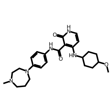 COC1CCC(Nc2cc[nH]c(=O)c2C(=O)Nc2ccc(N3CCCN(C)CC3)cc2)CC1